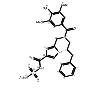 COc1cc(C(=O)N(CCCc2ccccc2)Cc2nc(C(=O)NS(=O)(=O)NC(C)=O)cs2)cc(OC)c1C